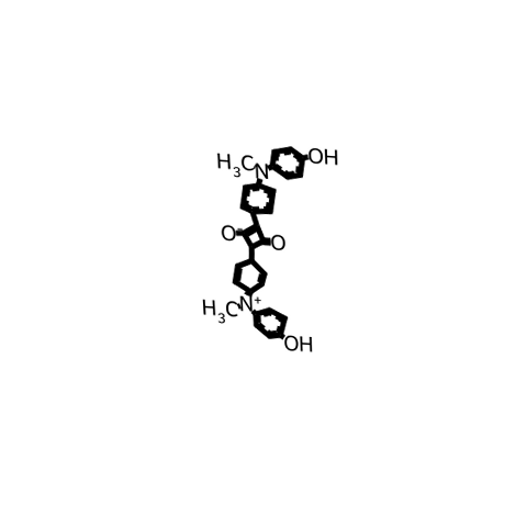 CN(c1ccc(O)cc1)c1ccc(C2=C([O-])C(C3C=CC(=[N+](C)c4ccc(O)cc4)C=C3)C2=O)cc1